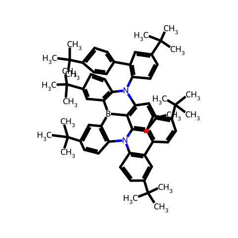 Cc1cc2c3c(c1)N(c1ccc(C(C)(C)C)cc1-c1ccc(C(C)(C)C)cc1)c1ccc(C(C)(C)C)cc1B3c1cc(C(C)(C)C)ccc1N2c1ccc(C(C)(C)C)cc1-c1ccc(C(C)(C)C)cc1